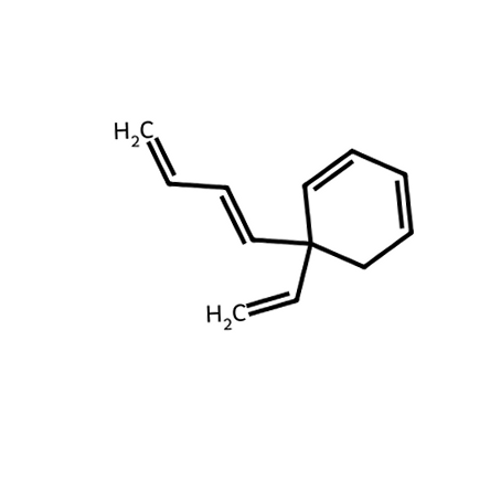 C=CC=CC1(C=C)C=CC=CC1